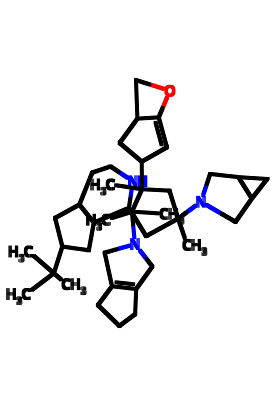 CC(C)(C)C1CC2CCNC(CC(C)(CC(C)(C3C=C4OCC4C3)C(C)(C)N3CC4=C(CCC4)C3)N3CC4CC4C3)C2C1